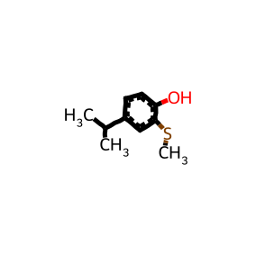 CSc1cc(C(C)C)ccc1O